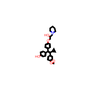 Oc1ccc(/C(=C(\c2ccc3c(c2)OCO3)C2CC2)c2ccc(OCC(O)CN3CCCCC3)cc2)cc1